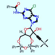 CC(C)C(=O)Nc1nc(Cl)c2ncn([C@@H]3O[C@@H]4CO[Si](C(C)C)(C(C)C)O[Si](C(C)C)(C(C)C)OC4[C@@]3(O)C#C[Si](C)(C)C)c2n1